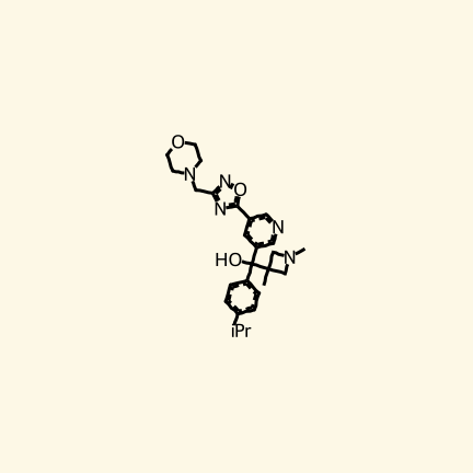 CC(C)c1ccc(C(O)(c2cncc(-c3nc(CN4CCOCC4)no3)c2)C2(C)CN(C)C2)cc1